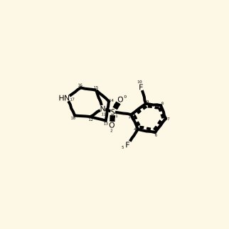 O=S(=O)(c1c(F)cccc1F)N1C2CCC1CNC2